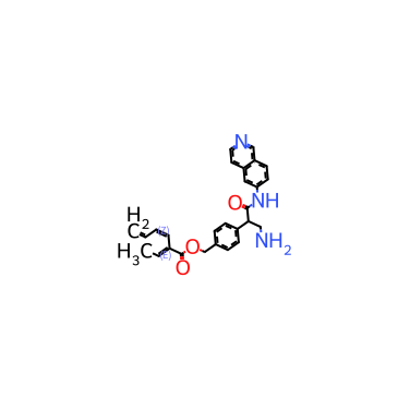 C=C/C=C\C(=C/C)C(=O)OCc1ccc(C(CN)C(=O)Nc2ccc3cnccc3c2)cc1